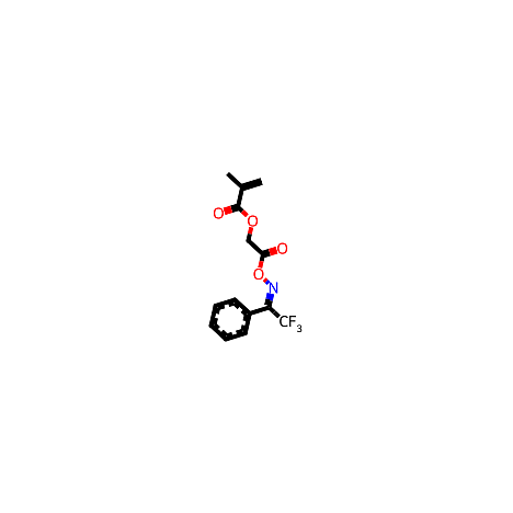 C=C(C)C(=O)OCC(=O)O/N=C(\c1ccccc1)C(F)(F)F